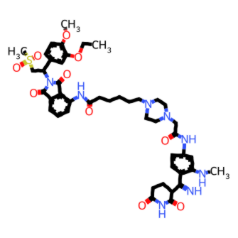 CCOc1cc(C(CS(C)(=O)=O)N2C(=O)c3cccc(NC(=O)CCCCCN4CCN(CC(=O)Nc5ccc(C(=N)C6CCC(=O)NC6=O)c(NC)c5)CC4)c3C2=O)ccc1OC